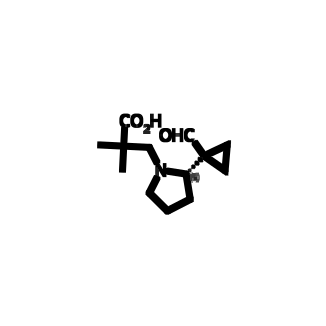 CC(C)(CN1CCC[C@H]1C1(C=O)CC1)C(=O)O